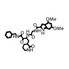 COc1cc(OC)c2cc(C(=O)NCC(=O)NC(CC3CCCNC3=O)C(=O)C(=O)NCc3ccccc3)[nH]c2c1